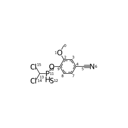 COc1cc(C#N)ccc1O[PH](=S)C(Cl)Cl